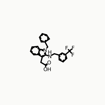 O=C(O)Cc1c(NCc2cccc(C(F)(F)F)c2)n(Cc2ccccc2)c2ccccc12